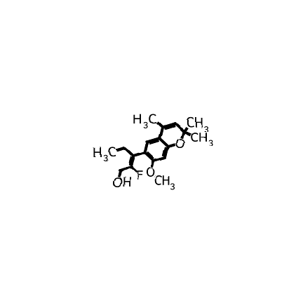 CCC(=C(F)CO)c1cc2c(cc1OC)OC(C)(C)C=C2C